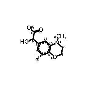 CN1CCOc2ccc(C(O)C(=O)[O-])cc21.[Li+]